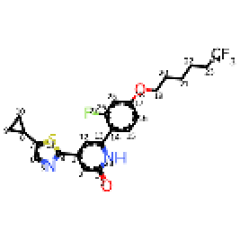 O=c1cc(-c2ncc(C3CC3)s2)cc(-c2ccc(OCCCCCC(F)(F)F)cc2F)[nH]1